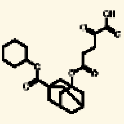 O=C(CCC(=O)C(=O)O)OC12CC3CC(C1)CC(C(=O)OC1CCCCC1)(C3)C2